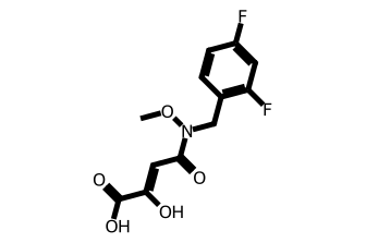 CON(Cc1ccc(F)cc1F)C(=O)C=C(O)C(=O)O